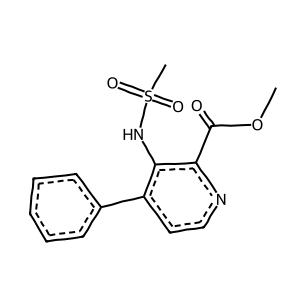 COC(=O)c1nccc(-c2ccccc2)c1NS(C)(=O)=O